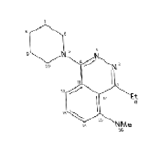 CCc1nnc(N2CCCCC2)c2cccc(NC)c12